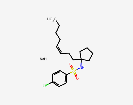 O=C(O)CCC/C=C\CCC1(NS(=O)(=O)c2ccc(Cl)cc2)CCCC1.[NaH]